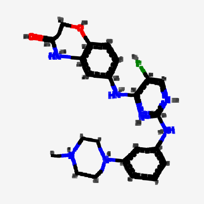 CN1CCN(c2cccc(Nc3ncc(F)c(Nc4ccc5c(c4)NC(=O)CO5)n3)c2)CC1